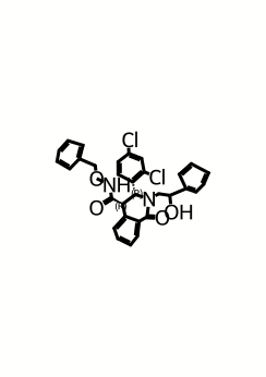 O=C(NOCc1ccccc1)[C@@H]1c2ccccc2C(=O)N(CC(O)c2ccccc2)[C@H]1c1ccc(Cl)cc1Cl